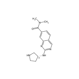 CN(C)C(=O)c1ccc2cnc(N[C@@H]3CCNC3)nc2c1